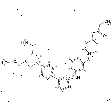 CCC(=O)CN1CCN(Cc2cccc(Nc3cc(-c4cnc(N(CCCN)CCCOC)nc4)ccn3)c2)CC1